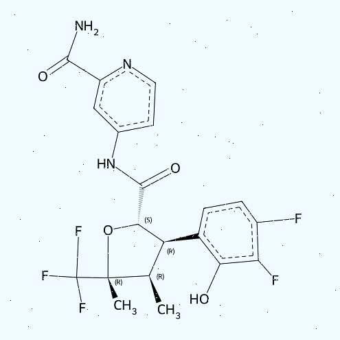 C[C@@H]1[C@H](c2ccc(F)c(F)c2O)[C@@H](C(=O)Nc2ccnc(C(N)=O)c2)O[C@@]1(C)C(F)(F)F